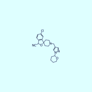 N#CC1OC2(CCN(Cc3cnn(C4CCCCO4)c3)CC2)c2cc(Cl)ccc21